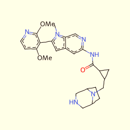 COc1ccnc(OC)c1-c1cc2cc(NC(=O)C3CC3CN3C4CCC3CNC4)ncc2n1C